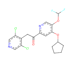 O=C(Cc1c(Cl)cncc1Cl)c1cc(OC2CCCC2)c(OC(F)F)cn1